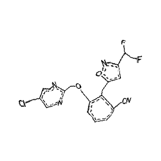 N#Cc1cccc(Oc2ncc(Cl)cn2)c1-c1cc(C(F)F)no1